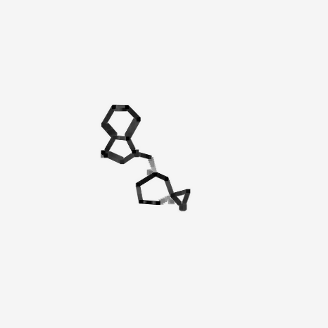 c1ccc2c(c1)ncn2C[C@H]1CCC[C@@]2(CO2)C1